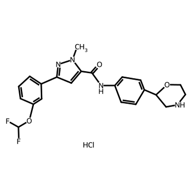 Cl.Cn1nc(-c2cccc(OC(F)F)c2)cc1C(=O)Nc1ccc(C2CNCCO2)cc1